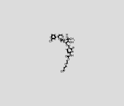 CCOCCOCCOC(=O)Nc1ccn(CO[C@H](COP2(=O)OCC[C@@H](c3cccc(Cl)c3)O2)[C@@H](O)C(C)(C)O)c(=O)n1